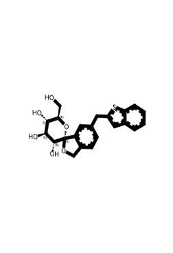 OC[C@H]1O[C@]2(OCc3ccc(Cc4cc5ccccc5s4)cc32)[C@H](O)[C@@H](O)[C@@H]1O